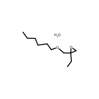 CCCCCCOCC1(CC)CO1.O